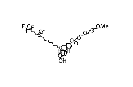 COCCOCCOCCOCC(=O)Oc1ccc2c(c1)C[C@@H](CCCCCCCCC[S+]([O-])CCCC(F)(F)C(F)(F)F)[C@@H]1[C@@H]2CC[C@]2(C)[C@@H](O)CC[C@@H]12